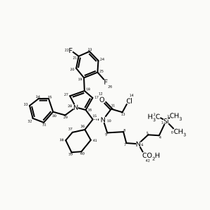 C[Si](C)(C)CCN(CCCN(C(=O)CCl)[C@@H](c1cc(-c2cc(F)ccc2F)cn1Cc1ccccc1)C1CCCCC1)C(=O)O